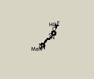 CNc1ncc(C#CC=Cc2nc3ccc(OCC(O)CF)cc3s2)cn1